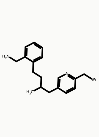 CC(C)Cc1ccc(CC(C)CCc2ccccc2CN)cn1